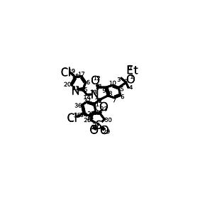 CCOC(C)(C)c1ccc2c(c1)C(=O)N(Cc1ccc(Cl)cn1)C2(OC1CCS(=O)(=O)C1)c1ccc(Cl)cc1